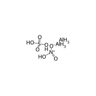 O=S(=O)(O)O.O=[N+]([O-])O.[AlH3].[AlH3]